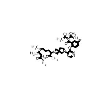 CC(C)C(CCCN(C)[C@H](C)CC(N)=O)N1CC2(CCN(c3ncnnc3Oc3ccc(F)cc3C(=O)N(C(C)C)C(C)C)C2)C1